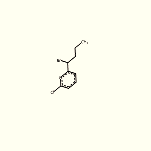 CCCC(Br)c1cccc(Cl)n1